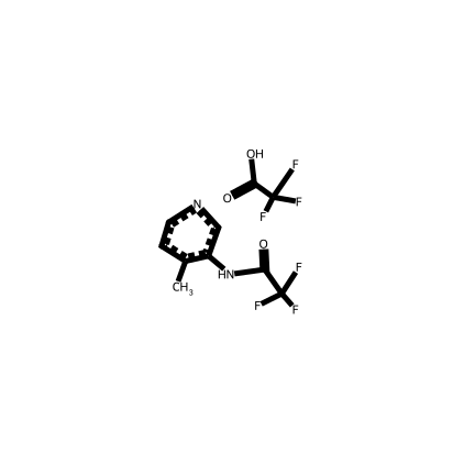 Cc1ccncc1NC(=O)C(F)(F)F.O=C(O)C(F)(F)F